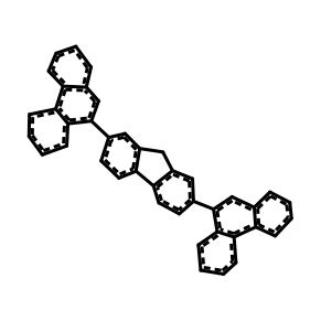 c1ccc2c(c1)cc(-c1ccc3c(c1)Cc1cc(-c4cc5ccccc5c5ccccc45)ccc1-3)c1ccccc12